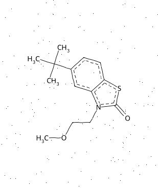 COCCn1c(=O)sc2ccc(C(C)(C)C)cc21